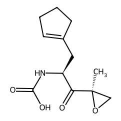 C[C@]1(C(=O)[C@H](CC2=CCCC2)NC(=O)O)CO1